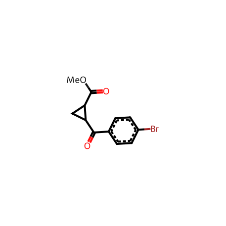 COC(=O)C1CC1C(=O)c1ccc(Br)cc1